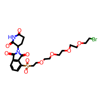 O=C1CCC(N2C(=O)c3cccc(S(=O)(=O)CCOCCOCCOCCOCCBr)c3C2=O)C(=O)N1